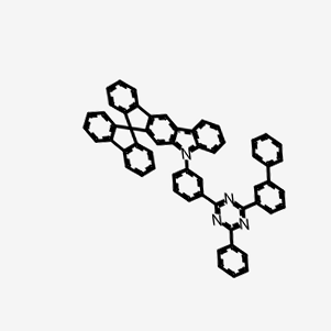 c1ccc(-c2cccc(-c3nc(-c4ccccc4)nc(-c4cccc(-n5c6ccccc6c6cc7c(cc65)C5(c6ccccc6-c6ccccc65)c5ccccc5-7)c4)n3)c2)cc1